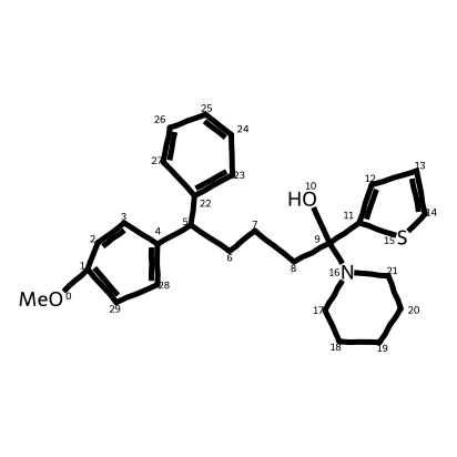 COc1ccc(C(CCCC(O)(c2cccs2)N2CCCCC2)c2ccccc2)cc1